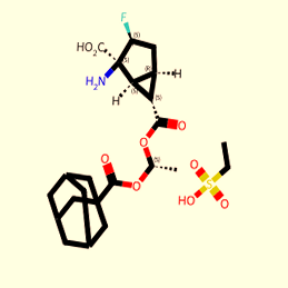 CCS(=O)(=O)O.C[C@@H](OC(=O)[C@H]1[C@@H]2C[C@H](F)[C@@](N)(C(=O)O)[C@@H]21)OC(=O)C12CC3CC(CC(C3)C1)C2